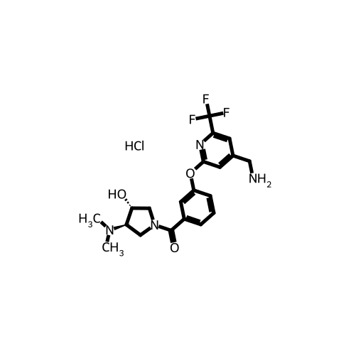 CN(C)[C@@H]1CN(C(=O)c2cccc(Oc3cc(CN)cc(C(F)(F)F)n3)c2)C[C@H]1O.Cl